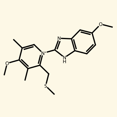 COc1ccc2[nH]c(-[n+]3cc(C)c(OC)c(C)c3CSC)nc2c1